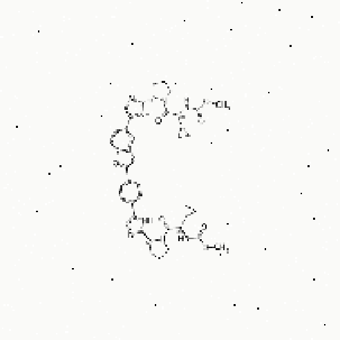 COC(=O)N[C@@H](C(=O)N1CCC[C@H]1c1ncc(-c2ccc(-c3cc4cc(-c5cnc([C@@H]6CCCN6C(=O)[C@H](NC(=O)OC)C6CC6)[nH]5)ccc4o3)cc2)[nH]1)C1CC1